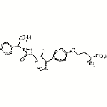 NC(CCOc1ccc(C(=NO)C(=O)NC2CN(C(C(=O)O)c3ccccc3)C2=O)cc1)C(=O)O